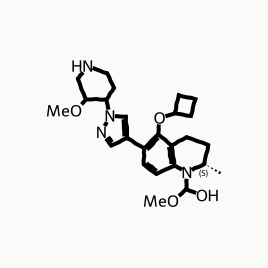 COC1CNCCC1n1cc(-c2ccc3c(c2OC2CCC2)CC[C@H](C)N3C(O)OC)cn1